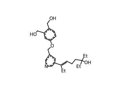 CCC(=CCCC(O)(CC)CC)c1cncc(COc2ccc(CO)c(CO)c2)c1